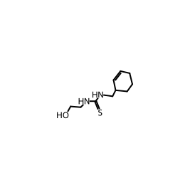 OCCNC(=S)NCC1C=CCCC1